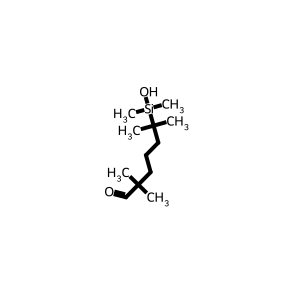 CC(C)(C=O)CCCC(C)(C)[Si](C)(C)O